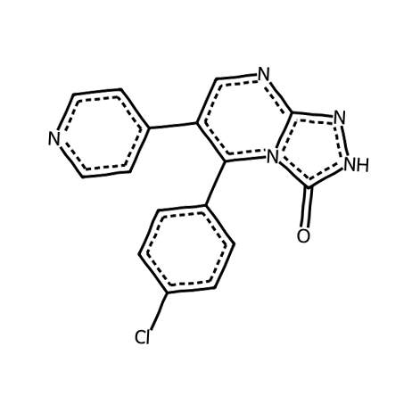 O=c1[nH]nc2ncc(-c3ccncc3)c(-c3ccc(Cl)cc3)n12